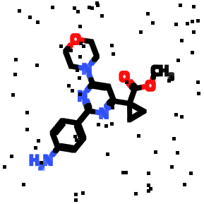 COC(=O)C1(c2cc(N3CCOCC3)nc(-c3ccc(N)cc3)n2)CC1